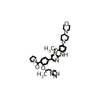 COc1cc(N2CCC(N3CCOCC3)CC2)ccc1Nc1ncc(-c2ccc(C(=O)N3CCCC3)c(O[C@@H](C)Cn3cnnn3)c2)cn1